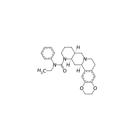 CCN(C(=O)N1CCC[C@H]2CN3CCc4cc5c(cc4[C@H]3C[C@H]21)OCCO5)c1ccccc1